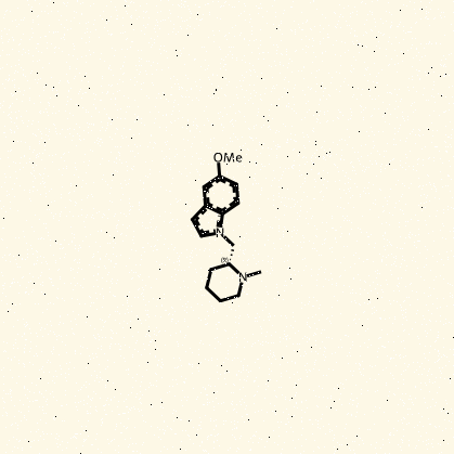 COc1ccc2c(ccn2C[C@H]2CCCCN2C)c1